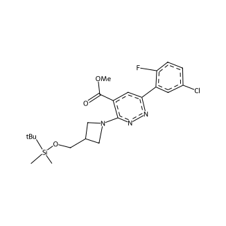 COC(=O)c1cc(-c2cc(Cl)ccc2F)nnc1N1CC(CO[Si](C)(C)C(C)(C)C)C1